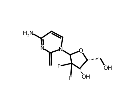 C=C1N=C(N)C=CN1C1O[C@H](CO)[C@H](O)C1(F)F